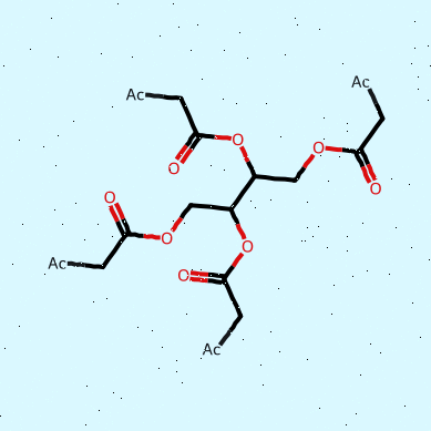 CC(=O)CC(=O)OCC(OC(=O)CC(C)=O)C(COC(=O)CC(C)=O)OC(=O)CC(C)=O